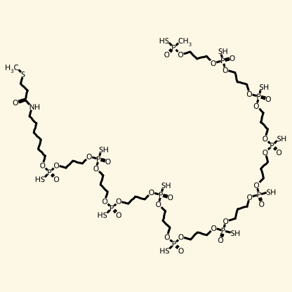 CSCCC(=O)NCCCCCCOP(=O)(S)OCCCOP(=O)(S)OCCCOP(=O)(S)OCCCOP(=O)(S)OCCCOP(=O)(S)OCCCOP(=O)(S)OCCCOP(=O)(S)OCCCOP(=O)(S)OCCCOP(=O)(S)OCCCOP(=O)(S)OCCCOP(C)(=O)S